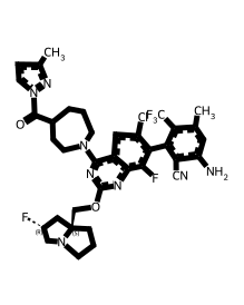 Cc1ccn(C(=O)C2CCCN(c3nc(OC[C@@]45CCCN4C[C@H](F)C5)nc4c(F)c(-c5c(C#N)c(N)cc(C)c5C(F)(F)F)c(Cl)cc34)CC2)n1